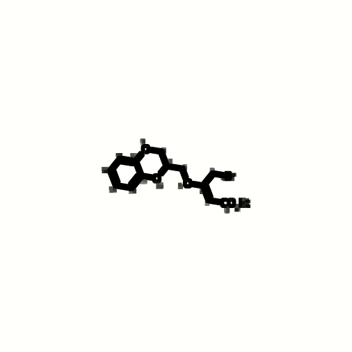 CCOC(=O)/C=C(\CBr)OCC1COc2ccccc2O1